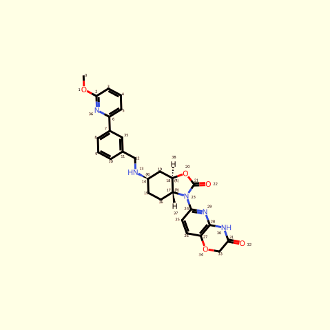 COc1cccc(-c2cccc(CN[C@@H]3CC[C@@H]4[C@@H](C3)OC(=O)N4c3ccc4c(n3)NC(=O)CO4)c2)n1